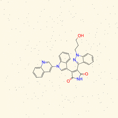 O=C1NC(=O)C(c2nn(CCCO)c3ccccc23)=C1c1cn(-c2cnc3ccccc3c2)c2ccccc12